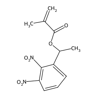 C=C(C)C(=O)OC(C)c1cccc([N+](=O)[O-])c1[N+](=O)[O-]